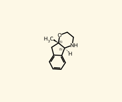 C[C@]12Cc3ccccc3[C@@H]1NCCO2